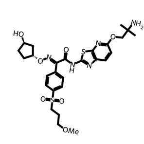 COCCCS(=O)(=O)c1ccc(/C(=N\O[C@@H]2CC[C@@H](O)C2)C(=O)Nc2nc3ccc(OCC(C)(C)N)nc3s2)cc1